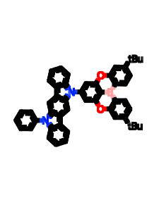 CC(C)(C)c1ccc2c(c1)Oc1cc(-n3c4ccccc4c4cc5c(cc43)c3ccccc3n5-c3ccccc3)cc3c1B2c1ccc(C(C)(C)C)cc1O3